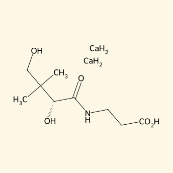 CC(C)(CO)[C@@H](O)C(=O)NCCC(=O)O.[CaH2].[CaH2]